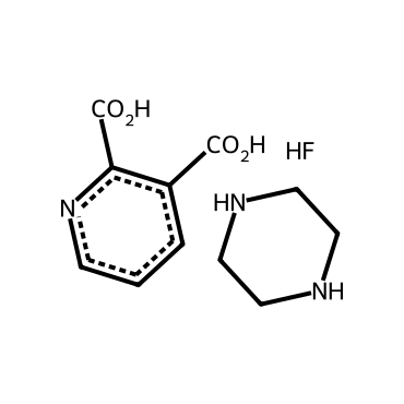 C1CNCCN1.F.O=C(O)c1cccnc1C(=O)O